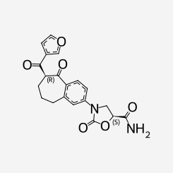 NC(=O)[C@@H]1CN(c2ccc3c(c2)CCC[C@@H](C(=O)c2ccoc2)C3=O)C(=O)O1